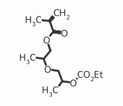 C=C(C)C(=O)OCC(C)OCC(C)OC(=O)OCC